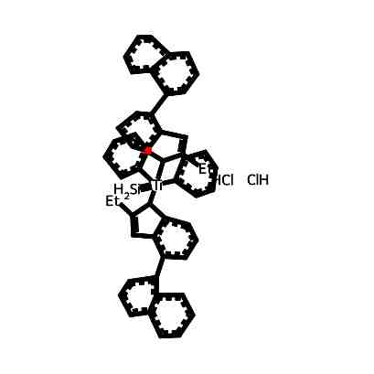 CCC1=Cc2c(-c3cccc4ccccc34)cccc2[CH]1[Ti](=[SiH2])([c]1ccccc1)([c]1ccccc1)[CH]1C(CC)=Cc2c(-c3cccc4ccccc34)cccc21.Cl.Cl